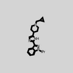 CC(C)n1nc(-c2ncc(C3CCN(CC4CC4)CC3)[nH]2)c2ccccc21